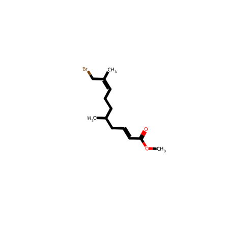 COC(=O)C=CCC(C)CCC=C(C)CBr